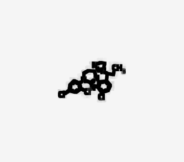 CCC(c1ccc(Cl)c2nc3n(c12)CCCN3c1ccc(Cl)cc1Cl)N1C=NCC1